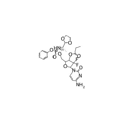 CCC(=O)OC1C(COP(=O)(N[C@@H](C)C2OCCO2)Oc2ccccc2)OC(n2ccc(N)nc2=O)C1(F)F